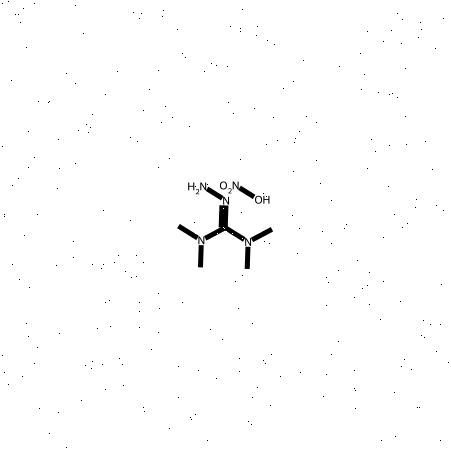 CN(C)C(=NN)N(C)C.O=[N+]([O-])O